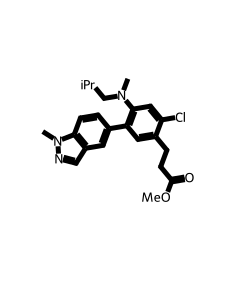 COC(=O)CCc1cc(-c2ccc3c(cnn3C)c2)c(N(C)CC(C)C)cc1Cl